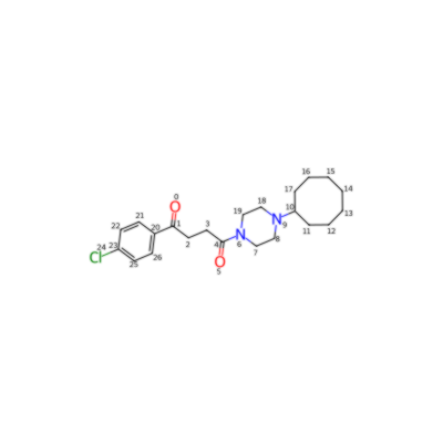 O=C(CCC(=O)N1CCN(C2CCCCCCC2)CC1)c1ccc(Cl)cc1